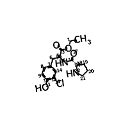 CCOC(=O)[C@H](Cc1ccc(O)c(Cl)c1)NC(=O)[C@@H]1CCCN1